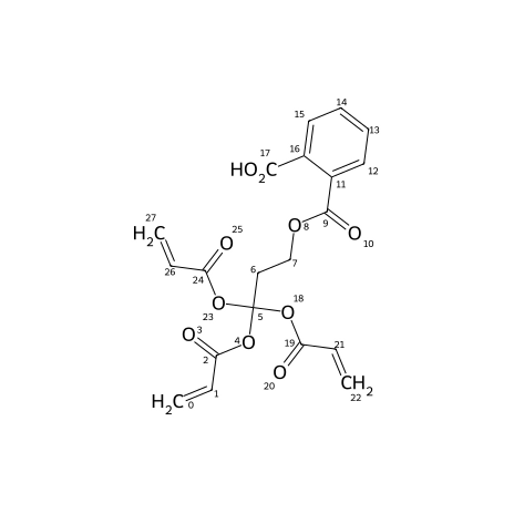 C=CC(=O)OC(CCOC(=O)c1ccccc1C(=O)O)(OC(=O)C=C)OC(=O)C=C